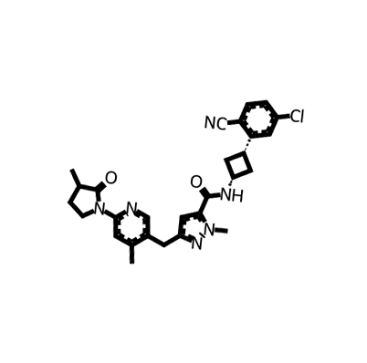 Cc1cc(N2CCC(C)C2=O)ncc1Cc1cc(C(=O)N[C@H]2C[C@@H](c3cc(Cl)ccc3C#N)C2)n(C)n1